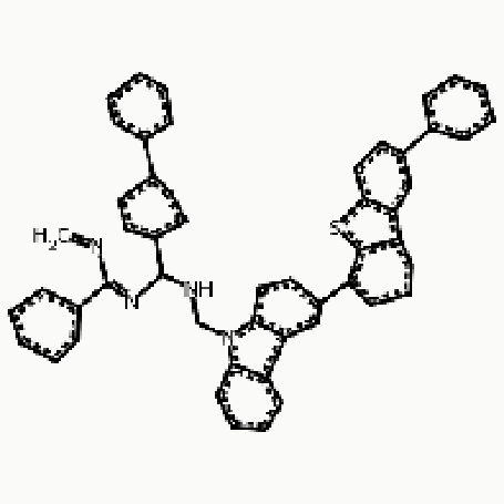 C=N/C(=N\C(NCn1c2ccccc2c2cc(-c3cccc4c3sc3ccc(-c5ccccc5)cc34)ccc21)c1ccc(-c2ccccc2)cc1)c1ccccc1